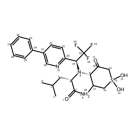 CC(C)C[C@@H](C(N)=O)N([C@@H]1C(=O)CS(O)(O)CC1C)[C@@H](c1ccc(-c2ccccc2)cn1)C(F)(F)F